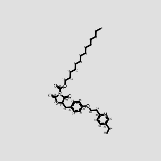 CCCCCCCCCCCCCCOC(=O)N1C(=O)SC(Cc2ccc(OCCc3ccc(CC)cn3)cc2)C1=O